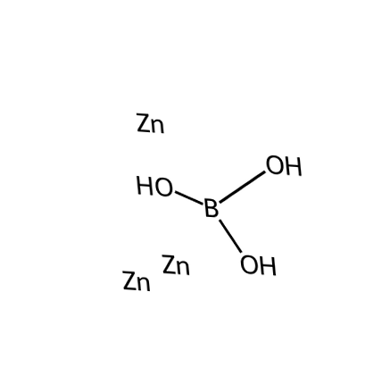 OB(O)O.[Zn].[Zn].[Zn]